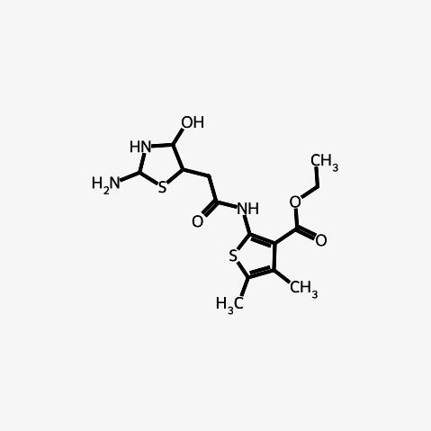 CCOC(=O)c1c(NC(=O)CC2SC(N)NC2O)sc(C)c1C